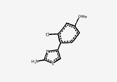 COc1ccc(-c2csc(N)n2)c(Cl)c1